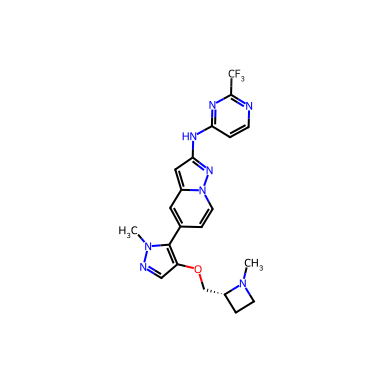 CN1CC[C@@H]1COc1cnn(C)c1-c1ccn2nc(Nc3ccnc(C(F)(F)F)n3)cc2c1